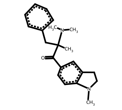 CN1CCc2cc(C(=O)C(C)(Cc3ccccc3)N(C)C)ccc21